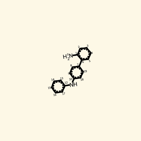 Nc1ccccc1-c1ccc(Nc2ccccc2)cc1